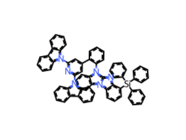 c1ccc([Si](c2ccccc2)(c2ccccc2)c2cccc3c2nc2n(-c4ccccc4-c4cc(-n5c6ccccc6c6ccccc65)nc(-n5c6ccccc6c6ccccc65)c4)c4ccccc4n32)cc1